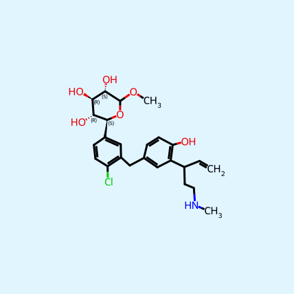 C=CC(CCNC)c1cc(Cc2cc([C@@H]3OC(OC)[C@@H](O)[C@H](O)[C@H]3O)ccc2Cl)ccc1O